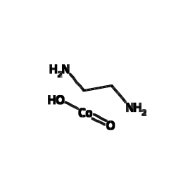 NCCN.[O]=[Co][OH]